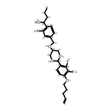 C=CCCCOc1ccc(C2OCC(OCc3ccc(C(O)CCC)c(F)c3)CO2)c(F)c1F